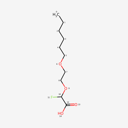 CCCCCCOCCOC(F)C(=O)O